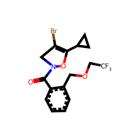 O=C(c1ccccc1COCC(F)(F)F)N1CC(Br)=C(C2CC2)O1